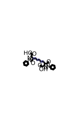 O=C(O)C1=NN(c2ccccc2)C(=O)\C1=C/C=C/C=C/C1C(=O)N(c2ccccc2)N=C1C(=O)O